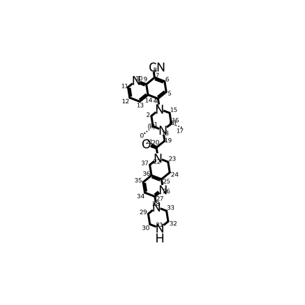 C[C@@H]1CN(c2ccc(C#N)c3ncccc23)C[C@H](C)N1CC(=O)N1CCc2nc(N3CCNCC3)ccc2C1